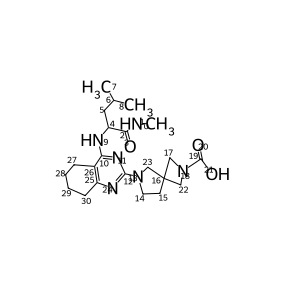 CNC(=O)C(CC(C)C)Nc1nc(N2CCC3(CN(C(=O)O)C3)C2)nc2c1CCCC2